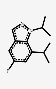 CC(C)c1cc(F)cc2cnn(C(C)C)c12